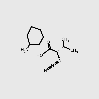 CC(C)[C@H](N=[N+]=[N-])C(=O)O.NC1CCCCC1